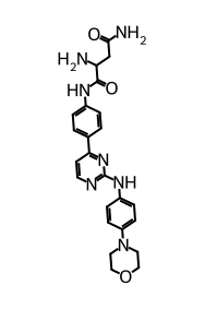 NC(=O)CC(N)C(=O)Nc1ccc(-c2ccnc(Nc3ccc(N4CCOCC4)cc3)n2)cc1